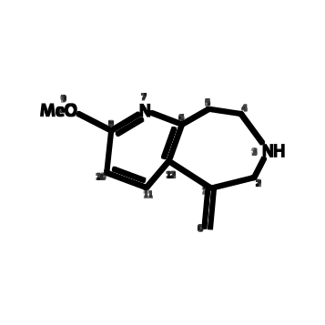 C=C1CNCCc2nc(OC)ccc21